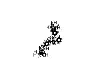 CCOC(=O)c1cc2cc(NC(=O)[C@@H]3[C@H](C4CCCCC4)CCN3C(=O)C3CCC([C@@H](CF)NC(=O)OC(C)(C)C)CC3)ccc2n1C